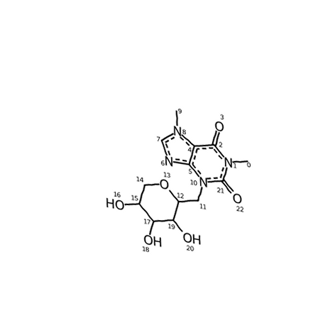 Cn1c(=O)c2c(ncn2C)n(CC2OCC(O)C(O)C2O)c1=O